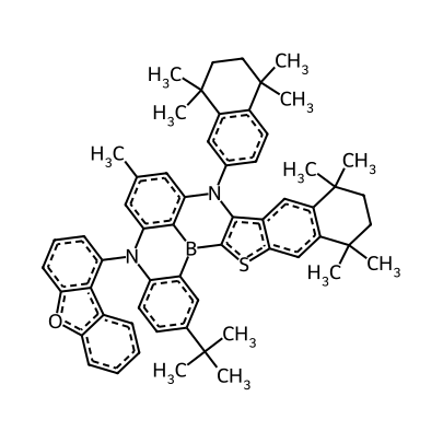 Cc1cc2c3c(c1)N(c1cccc4oc5ccccc5c14)c1ccc(C(C)(C)C)cc1B3c1sc3cc4c(cc3c1N2c1ccc2c(c1)C(C)(C)CCC2(C)C)C(C)(C)CCC4(C)C